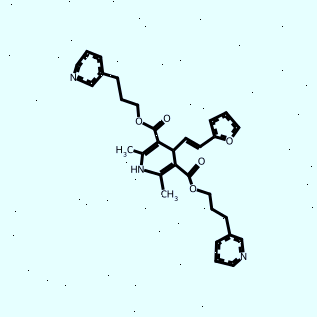 CC1=C(C(=O)OCCCc2cccnc2)C(C=Cc2ccco2)C(C(=O)OCCCc2cccnc2)=C(C)N1